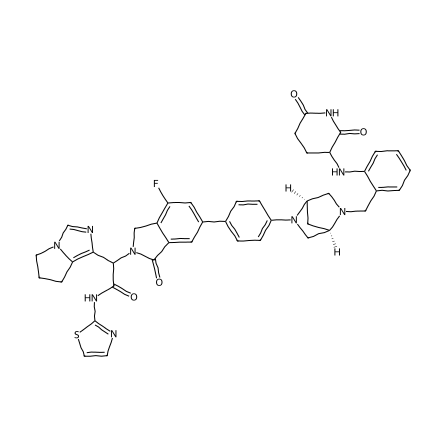 O=C1CCC(Nc2ccccc2CN2C[C@H]3C[C@@H]2CN3c2ccc(-c3cc(F)c4c(c3)C(=O)N(C(C(=O)Nc3nccs3)c3ncn5c3CCC5)C4)cc2)C(=O)N1